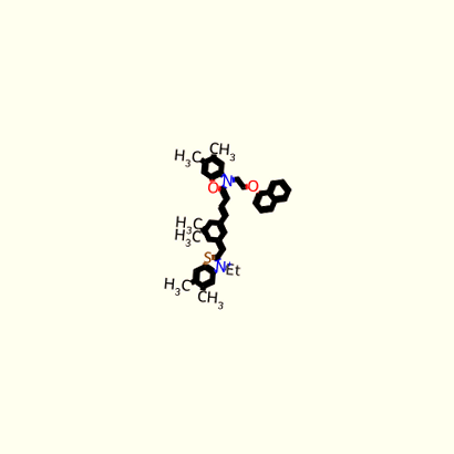 CC[n+]1c(C=C2C=C(C=CC=C3Oc4cc(C)c(C)cc4N3CCOc3cccc4ccccc34)CC(C)(C)C2)sc2cc(C)c(C)cc21